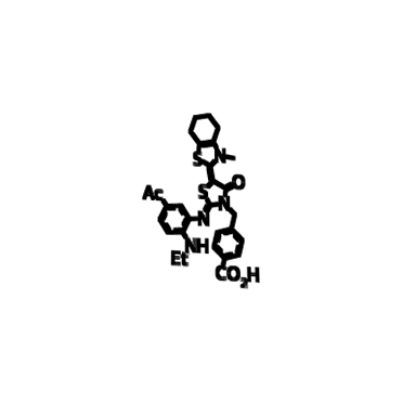 CCNc1ccc(C(C)=O)cc1N=C1SC(=C2SC3=C(CCCC3)N2C)C(=O)N1Cc1ccc(C(=O)O)cc1